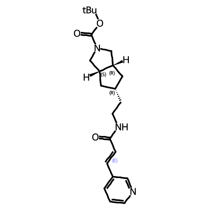 CC(C)(C)OC(=O)N1C[C@H]2C[C@@H](CCNC(=O)/C=C/c3cccnc3)C[C@H]2C1